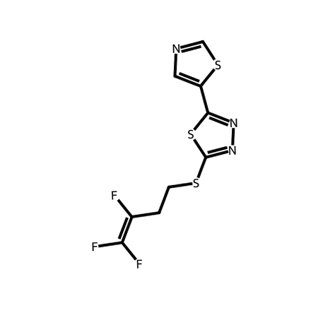 FC(F)=C(F)CCSc1nnc(-c2cncs2)s1